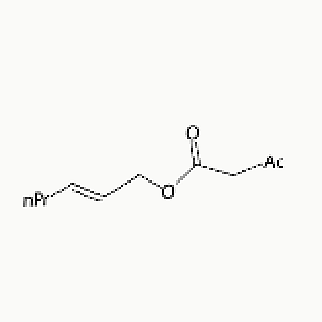 CCCC=CCOC(=O)CC(C)=O